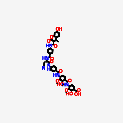 COc1c(NC(=O)c2ccc(NC(=O)c3ccc(NC(=O)[C@H](CC#N)NC(=O)c4ccc(NC(=O)c5c(C)c6ccc(O)cc6oc5=O)cc4)cc3)c(OC)c2O)ccc(C(=O)O)c1O